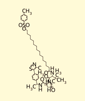 Cc1ccc(S(=O)(=O)OCCCCCCCCCCCCCCCC(=O)NC(C(=O)N2C[C@H](O)C[C@H]2C(=O)NC(C)c2ccc(-c3scnc3C)cc2)C(C)(C)C)cc1